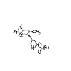 CCC(C)C(=O)Oc1cncc(C#Cc2cc3c(cc2C)SCCC3(CC)CC)c1